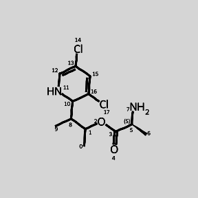 CC(OC(=O)[C@H](C)N)C(C)C1NC=C(Cl)C=C1Cl